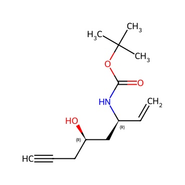 C#CC[C@@H](O)C[C@H](C=C)NC(=O)OC(C)(C)C